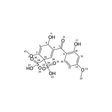 COC1=CC(O)C(C(=O)c2ccc(OC)cc2O)=CC1(S(=O)(=O)O)S(=O)(=O)O